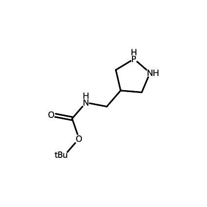 CC(C)(C)OC(=O)NCC1CNPC1